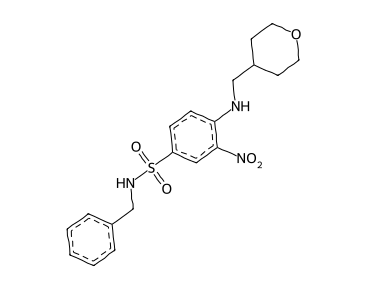 O=[N+]([O-])c1cc(S(=O)(=O)NCc2ccccc2)ccc1NCC1CCOCC1